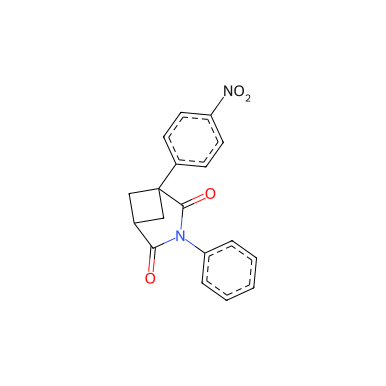 O=C1C2CC(c3ccc([N+](=O)[O-])cc3)(C2)C(=O)N1c1ccccc1